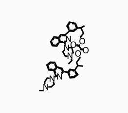 CCN1CCN(c2nc(-c3cccc(C(C)CCOC(=O)C(=O)OCCC(C)c4cccc(-c5cc6ccccc6c(N6CCN(CC)CC6)n5)c4)c3)cc3ccccc23)CC1